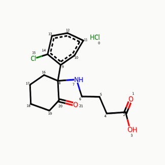 Cl.O=C(O)CCCNC1(c2ccccc2Cl)CCCCC1=O